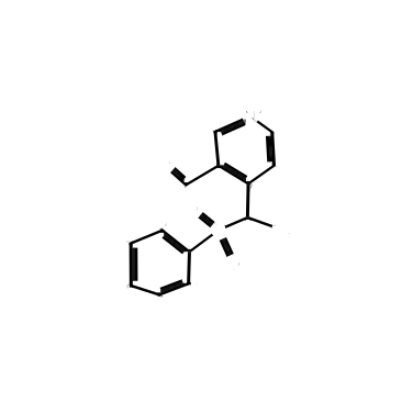 O=Cc1cnccc1C(F)S(=O)(=O)c1ccccc1